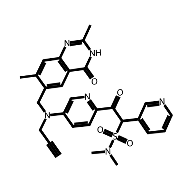 C#CCN(Cc1cc2c(=O)[nH]c(C)nc2cc1C)c1ccc(C(=O)C(c2cccnc2)S(=O)(=O)N(C)C)nc1